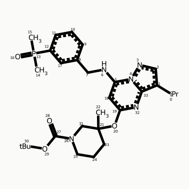 CC(C)c1cnn2c(NCc3cccc(P(C)(C)=O)c3)cc(OC3(C)CCCN(C(=O)OC(C)(C)C)C3)nc12